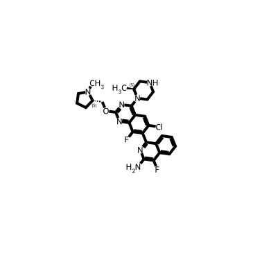 C[C@H]1CNCCN1c1nc(OC[C@@H]2CCCN2C)nc2c(F)c(-c3nc(N)c(F)c4ccccc34)c(Cl)cc12